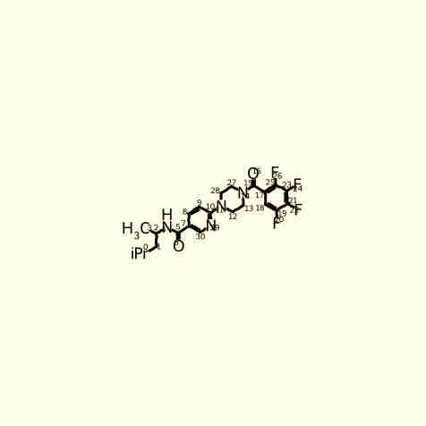 CC(C)CC(C)NC(=O)c1ccc(N2CCN(C(=O)c3cc(F)c(F)c(F)c3F)CC2)nc1